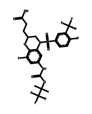 CC(C)(OC(=O)Nc1cc(F)c2c(c1)N(S(=O)(=O)c1ccc(F)c(C(F)(F)F)c1)CC(CCC(=O)O)O2)C(F)(F)F